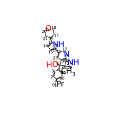 CC(C)c1ccc(C(O)(c2cncc(-c3ccc(C4CCOCC4)[nH]3)c2)C2(C)CNC2)cc1